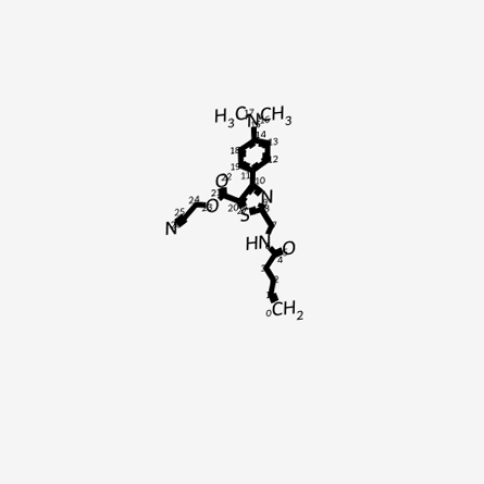 C=CCCC(=O)NCc1nc(-c2ccc(N(C)C)cc2)c(C(=O)OCC#N)s1